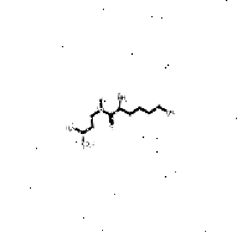 C[S+](CC[C@H](N)C(=O)O)C(=O)[C@@H](N)CCCCN